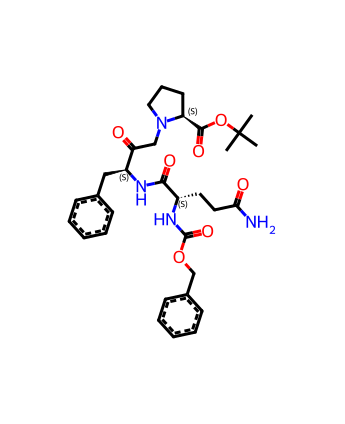 CC(C)(C)OC(=O)[C@@H]1CCCN1CC(=O)[C@H](Cc1ccccc1)NC(=O)[C@H](CCC(N)=O)NC(=O)OCc1ccccc1